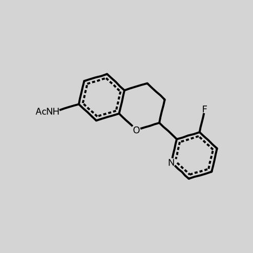 CC(=O)Nc1ccc2c(c1)OC(c1ncccc1F)CC2